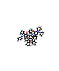 N#Cc1c(N2c3ccccc3Oc3c2ccc2c3c3ccccc3n2-c2ccccc2)c(N2c3ccccc3Oc3c2ccc2c3c3ccccc3n2-c2ccccc2)c(C#N)c2c1C1(OC23c2ccccc2-c2ccccc23)c2ccccc2-c2ccccc21